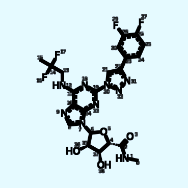 CNC(=O)[C@H]1OC(n2cnc3c(NCC(C)(F)F)nc(-n4cc(-c5ccc(F)c(F)c5)nn4)nc32)[C@H](O)[C@@H]1O